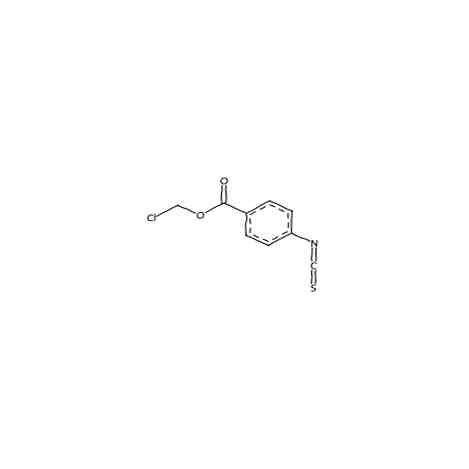 O=C(OCCl)c1ccc(N=C=S)cc1